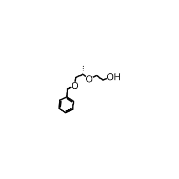 C[C@@H](COCc1ccccc1)OCCO